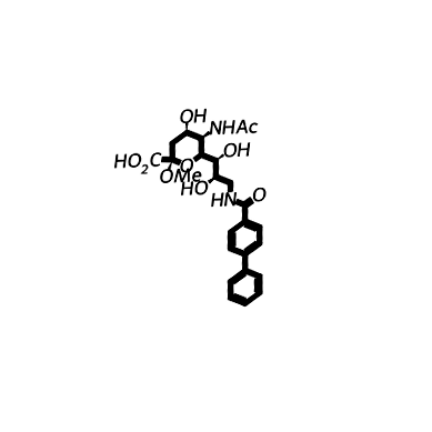 CO[C@]1(C(=O)O)C[C@H](O)[C@@H](NC(C)=O)C([C@H](O)[C@H](O)CNC(=O)c2ccc(-c3ccccc3)cc2)O1